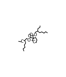 CCCCCC(CCC)COC(=O)C1(C(=O)OCC(CCC)CCCCC)CCCCC1